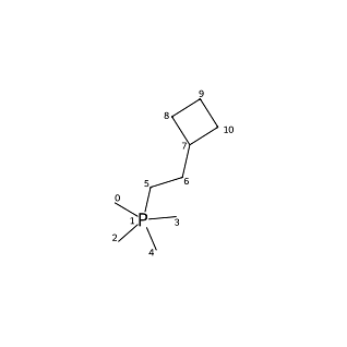 CP(C)(C)(C)CCC1CCC1